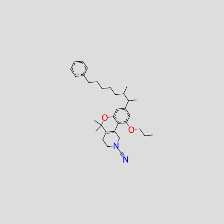 CCCOc1cc(C(C)C(C)CCCCCc2ccccc2)cc2c1C1=C(CCN(C#N)C1)C(C)(C)O2